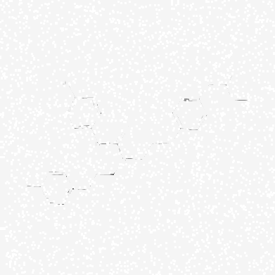 CCOC(Cc1ccc(OCCN(CCCc2ccc(F)cc2)C(=O)Nc2ccc(Br)cc2)cc1)C(=O)O